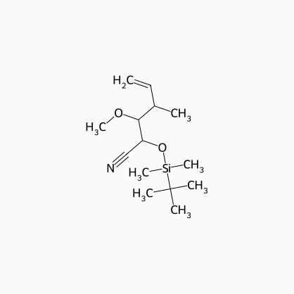 C=CC(C)C(OC)C(C#N)O[Si](C)(C)C(C)(C)C